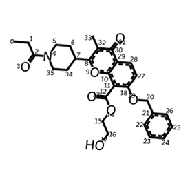 CCC(=O)N1CCC(c2oc3c(C(=O)OCCO)c(OCc4ccccc4)ccc3c(=O)c2C)CC1